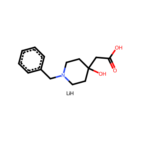 O=C(O)CC1(O)CCN(Cc2ccccc2)CC1.[LiH]